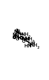 N=C(N)NCCC[C@H](N)C(=O)Nc1ccc(C(=O)Cn2c(-c3nonc3NCCN)nc3ccccc32)cc1